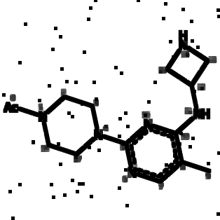 CC(=O)N1CCN(c2ncc(C)c(NC3CNC3)n2)CC1